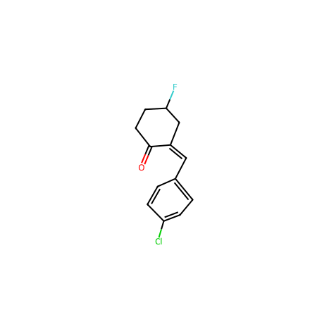 O=C1CCC(F)CC1=Cc1ccc(Cl)cc1